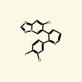 Fc1ccc(-c2ncccc2-c2cn3ncnc3cc2Cl)cc1Cl